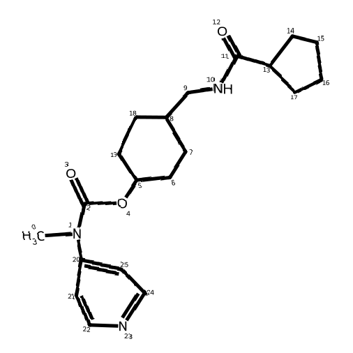 CN(C(=O)OC1CCC(CNC(=O)C2CCCC2)CC1)c1ccncc1